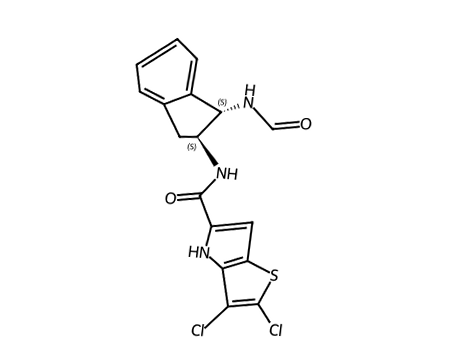 O=CN[C@H]1c2ccccc2C[C@@H]1NC(=O)c1cc2sc(Cl)c(Cl)c2[nH]1